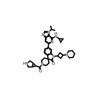 CC(C)n1cnc2cc(-c3ccc4c(c3)N(C3CC(N5CCCCC5)C3)C(=O)C43CCN(C(=O)C4C5CNCC54)CC3)nc(NC3CC3)c21